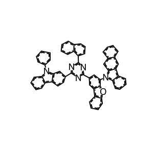 c1ccc(-n2c3ccccc3c3ccc(-c4nc(-c5cc(-n6c7ccccc7c7cc8ccccc8cc76)c6oc7ccccc7c6c5)nc(-c5cccc6ccccc56)n4)cc32)cc1